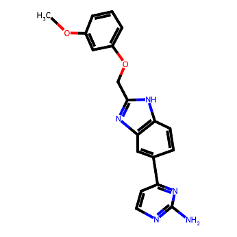 COc1cccc(OCc2nc3cc(-c4ccnc(N)n4)ccc3[nH]2)c1